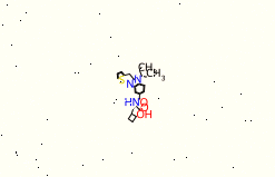 CCC(CC)n1c(Cc2cccs2)nc2cc(C(=O)N[C@@H](CC3CCC3)C(=O)O)ccc21